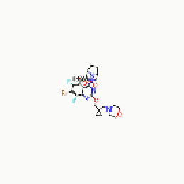 COc1c(F)c(Br)c(F)c2nc(OCC3(CN4CCOCC4)CC3)nc(N3CC4CCC(C3)N4C(=O)OC(C)(C)C)c12